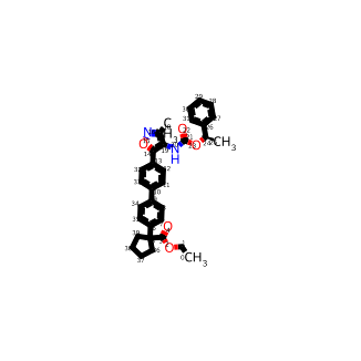 CCOC(=O)C1(c2ccc(-c3ccc(-c4onc(C)c4NC(=O)O[C@H](C)c4ccccc4)cc3)cc2)CCCC1